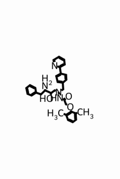 Cc1cccc(C)c1OCC(=O)NN(Cc1ccc(-c2ccccn2)cc1)CC(O)C(N)Cc1ccccc1